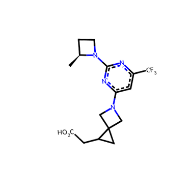 C[C@H]1CCN1c1nc(N2CC3(CC3CC(=O)O)C2)cc(C(F)(F)F)n1